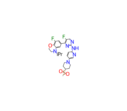 CC(C)N1CCOc2c(F)cc(-c3nc(Nc4ccc(N5CCC(S(C)(=O)=O)CC5)cn4)ncc3F)cc21